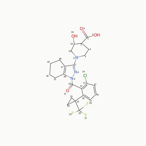 O=C(O)C1CCN(c2nn(C(=O)c3c(Cl)cccc3C3(C(F)(F)F)CC3)c3c2CCCC3)CC1O